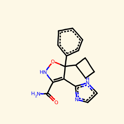 NC(=O)C1=C(c2ncc[nH]2)C(c2ccccc2)(C2CCC2)ON1